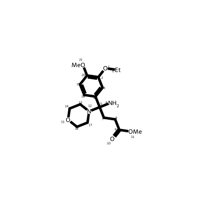 CCOc1cc(C(N)(CCC(=O)OC)N2CCOCC2)ccc1OC